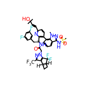 Cn1nc(NS(C)(=O)=O)c2cccc(-c3ccc(C#CC(C)(C)O)nc3[C@H](Cc3cc(F)cc(F)c3)NC(=O)Cn3nc(C(F)(F)F)c4c3C(F)(F)[C@@H]3CC[C@H]43)c21